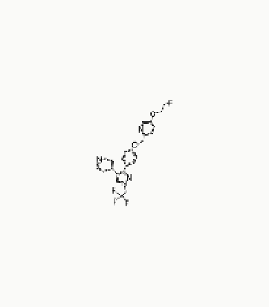 FCCOc1ccc(COc2ccc(-c3nn(CC(F)(F)F)cc3-c3ccncc3)cc2)nc1